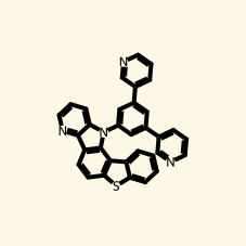 c1cncc(-c2cc(-c3cccnc3)cc(-n3c4cccnc4c4ccc5sc6ccccc6c5c43)c2)c1